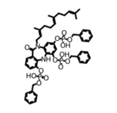 CC(C)=CCC/C(C)=C/CC/C(C)=C/CN1C(=O)c2cccc(OP(=O)(O)OCc3ccccc3)c2Nc2c(OP(=O)(O)OCc3ccccc3)cc(OP(=O)(O)OCc3ccccc3)cc21